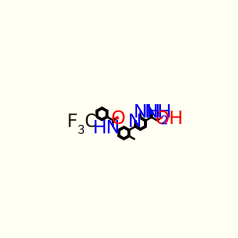 Cc1ccc(NC(=O)c2cccc(C(F)(F)F)c2)cc1-c1ccc(C(=N)CO)c(N)n1